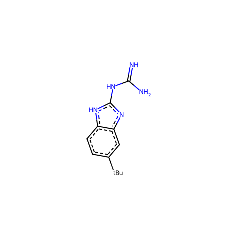 CC(C)(C)c1ccc2[nH]c(NC(=N)N)nc2c1